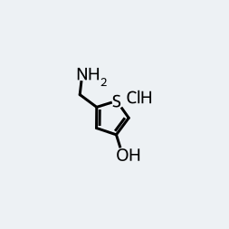 Cl.NCc1cc(O)cs1